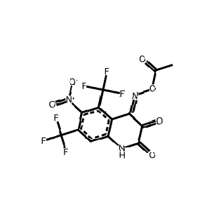 CC(=O)ON=C1C(=O)C(=O)Nc2cc(C(F)(F)F)c([N+](=O)[O-])c(C(F)(F)F)c21